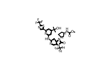 [2H]C([2H])([2H])n1c(=O)n([C@@H]2CC[C@@H](NC(=O)OC)C2)c2cc(Nc3cc(C(C)(C)O)cc(-c4cnc(C(F)(F)F)s4)n3)ncc21